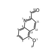 COc1cccc2nc(C=O)ccc12